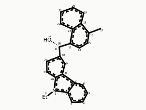 CCn1c2ccccc2c2cc([C@H](O)c3ccc(C)c4ccccc34)ccc21